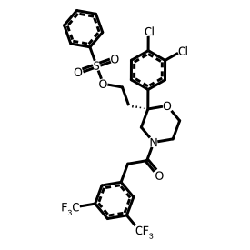 O=C(Cc1cc(C(F)(F)F)cc(C(F)(F)F)c1)N1CCO[C@](CCOS(=O)(=O)c2ccccc2)(c2ccc(Cl)c(Cl)c2)C1